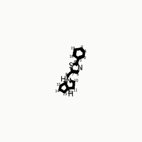 c1ccc(-c2ncc(CN3CC[C@H]4CCC[C@H]43)s2)cc1